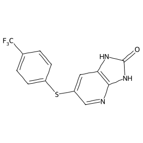 O=c1[nH]c2cc(Sc3ccc(C(F)(F)F)cc3)cnc2[nH]1